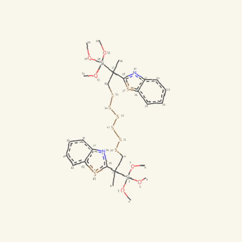 CO[Si](OC)(OC)C(C)(CSSSSSSCC(C)(c1nc2ccccc2s1)[Si](OC)(OC)OC)c1nc2ccccc2s1